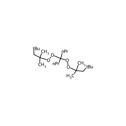 CCCC(CCC)(OOC(C)(C)CC(C)(C)C)OOC(C)(C)CC(C)(C)C